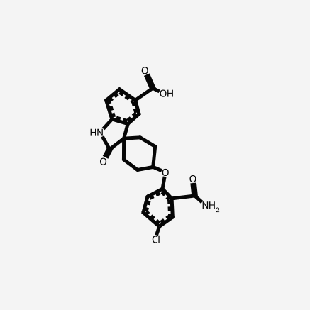 NC(=O)c1cc(Cl)ccc1OC1CCC2(CC1)C(=O)Nc1ccc(C(=O)O)cc12